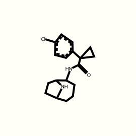 O=C(NC1CCCC2CCC1N2)C1(c2ccc(Cl)cc2)CC1